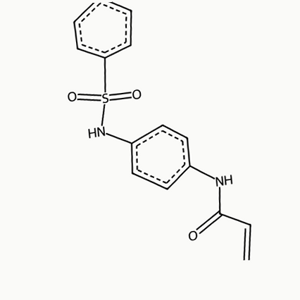 C=CC(=O)Nc1ccc(NS(=O)(=O)c2ccccc2)cc1